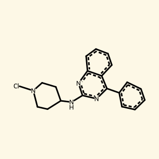 ClN1CCC(Nc2nc(-c3ccccc3)c3ccccc3n2)CC1